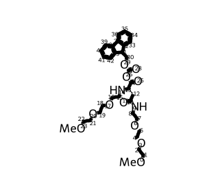 COCCOCCOCCNC(=O)C[C@H](NCCOCCOCCOC)C(=O)OC(=O)OCC1c2ccccc2-c2ccccc21